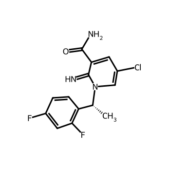 C[C@H](c1ccc(F)cc1F)n1cc(Cl)cc(C(N)=O)c1=N